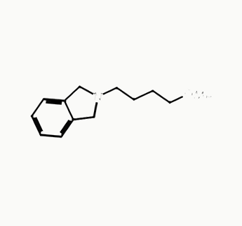 COCCCCN1Cc2ccccc2C1